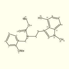 COc1ccccc1CN(CCc1cn(C)c2cccc(O)c12)C(=O)OC(C)(C)C